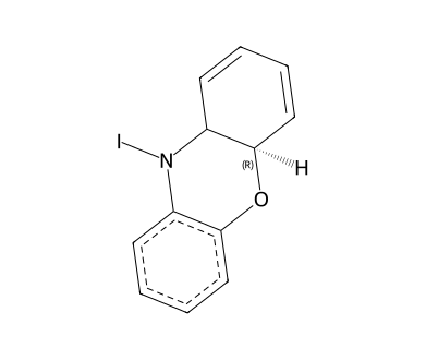 IN1c2ccccc2O[C@@H]2C=CC=CC21